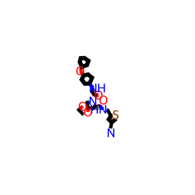 N#Cc1csc(CNC(=O)[C@@H]2CC3(CN2C(=O)CNc2ccc(Oc4ccccc4)cc2)OCCO3)c1